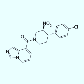 O=C(c1cccn2cncc12)N1CC[C@@H](c2ccc(Cl)cc2)[C@H]([N+](=O)[O-])C1